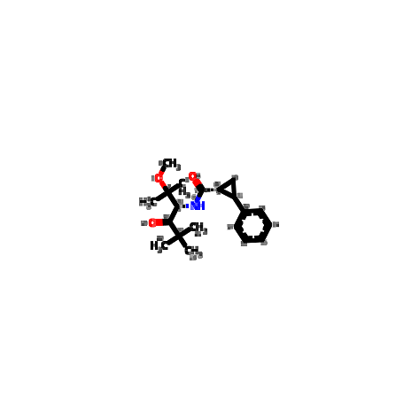 COC(C)(C)[C@H](NC(=O)[C@@H]1CC1c1ccccc1)C(=O)C(C)(C)C